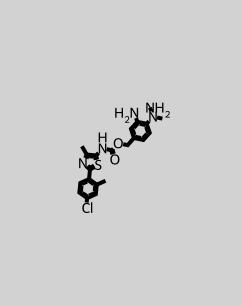 Cc1cc(Cl)ccc1-c1nc(C)c(NC(=O)OCc2ccc(N(C)N)c(N)c2)s1